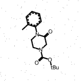 Cc1ccccc1N1CCN(C(=O)OC(C)(C)C)CC1=O